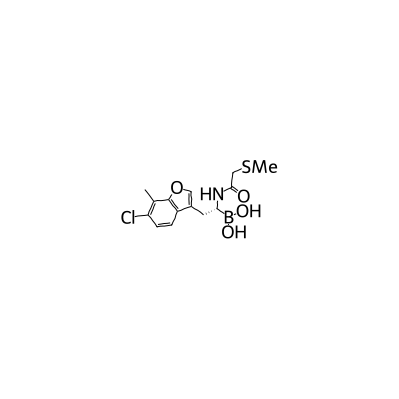 CSCC(=O)N[C@@H](Cc1coc2c(C)c(Cl)ccc12)B(O)O